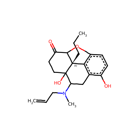 C=CCN(C)C1Cc2c(O)ccc3c2[C@@]2(CCC)C(O3)C(=O)CCC12O